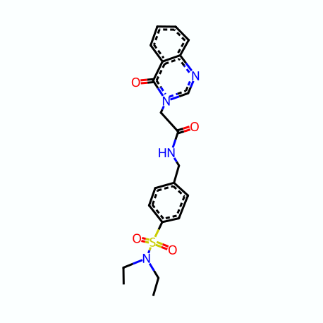 CCN(CC)S(=O)(=O)c1ccc(CNC(=O)Cn2cnc3ccccc3c2=O)cc1